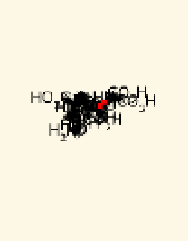 C[C@H](N)C(=O)N[C@@H](C)C(=O)N1CCC[C@H]1C(=O)N[C@@H](CCC(=O)O)C(=O)N1CCC[C@H]1C(=O)N[C@@H](CCC(=O)O)C(=O)N[C@H](C(=O)NCC(=O)N[C@@H](CCC(=O)O)C(=O)O)[C@@H](C)O